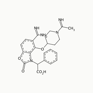 CC(=N)N1CCC(Oc2c(C(=N)N)ccc3oc(=O)n(C(C(=O)O)c4ccccc4)c23)CC1